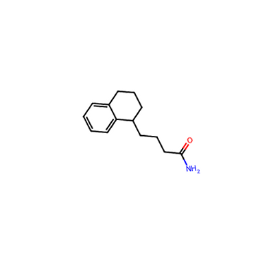 NC(=O)CCCC1CCCc2ccccc21